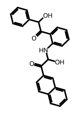 O=C(c1ccc2ccccc2c1)C(O)Nc1ccccc1C(=O)C(O)c1ccccc1